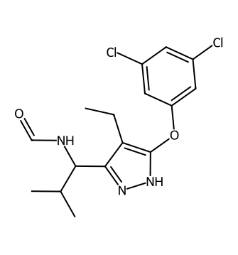 CCc1c(C(NC=O)C(C)C)n[nH]c1Oc1cc(Cl)cc(Cl)c1